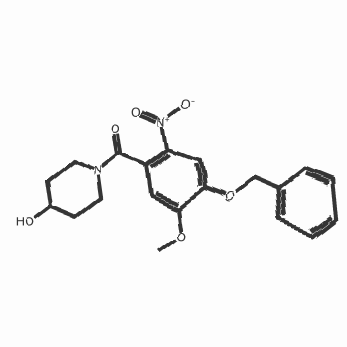 COc1cc(C(=O)N2CCC(O)CC2)c([N+](=O)[O-])cc1OCc1ccccc1